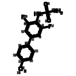 NS(=O)(=O)Nc1c(F)cc(-c2ccc(C(F)(F)F)cc2)cc1F